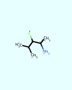 CC(C)C(F)C(C)N